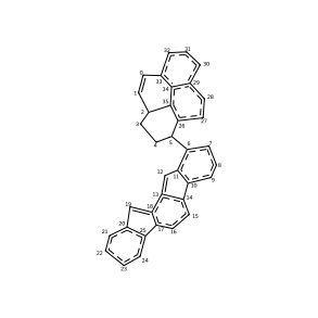 C1=CC2CCC(c3cccc4c3C=c3c-4ccc4c3=Cc3ccccc3-4)c3ccc4cccc1c4c32